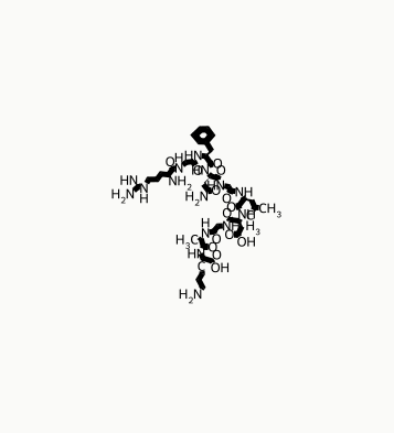 CC(C)C[C@H](NC(=O)CNC(=O)[C@H](CC(N)=O)NC(=O)[C@H](Cc1ccccc1)NC(=O)CNC(=O)[C@@H](N)CCCNC(=N)N)C(=O)N[C@@H](CC(=O)O)C(=O)NCC(=O)N[C@@H](C)C(=O)N[C@@H](CCCCN)C(=O)O